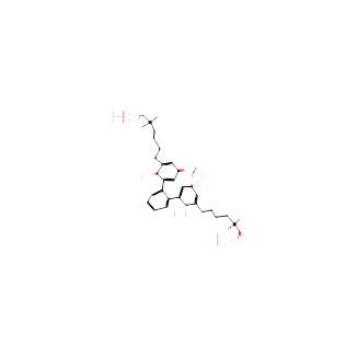 CC(C)(CO)CCCCC1=CC(=O)C=C(c2ccccc2C2=CC(=O)C=C(CCCCC(C)(C)CO)C2=O)C1=O